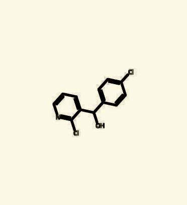 OC(c1ccc(Cl)cc1)c1cccnc1Cl